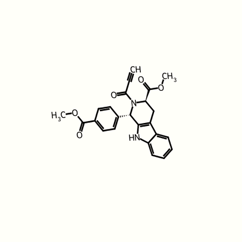 C#CC(=O)N1[C@@H](c2ccc(C(=O)OC)cc2)c2[nH]c3ccccc3c2C[C@@H]1C(=O)OC